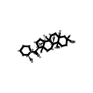 CCC[C@]12CC[C@@](C)(O)C[C@H]1CC[C@H]1[C@@H]3CC[C@H](C(=O)N4CCCC[C@H]4CC)[C@@]3(C)CC[C@@H]12